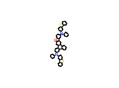 c1ccc(N(c2ccc3oc4cc5c6ccc(N(c7ccccc7)c7ccc8sc9ccccc9c8c7)cc6c6ccccc6c5cc4c3c2)c2ccc3sc4ccccc4c3c2)cc1